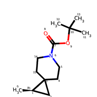 C[C@@H]1CC12CCN(C(=O)OC(C)(C)C)CC2